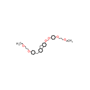 C=COCCCOc1ccc(Cc2ccc3c(c2)Cc2cc(OCOc4ccc(OCCCOC=C)cc4)ccc2-3)cc1